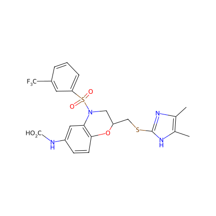 Cc1nc(SCC2CN(S(=O)(=O)c3cccc(C(F)(F)F)c3)c3cc(NC(=O)O)ccc3O2)[nH]c1C